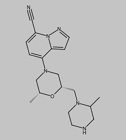 CC1CNCCN1C[C@H]1CN(c2ccc(C#N)n3nccc23)C[C@@H](C)O1